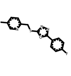 Cc1ccc(CSc2nnc(-c3ccc(F)cc3)o2)nc1